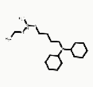 CCO[SiH](C)OCCCCP(C1CCCCC1)C1CCCCC1